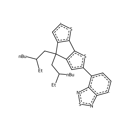 CCCCC(CC)CC1(CC(CC)CCCC)c2c[c]sc2-c2sc(-c3cc[c]c4nsnc34)cc21